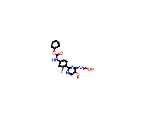 COc1cnc(-c2ccc(NC(=O)Oc3ccccc3)cc2F)nc1NCCO